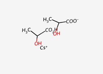 CC(O)C(=O)O.CC(O)C(=O)[O-].[Cs+]